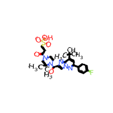 CC(C)(C)c1cc(-c2ccc(F)cc2)nn2cc(C(=O)N3CCN(C(=O)CCS(=O)(=O)O)CC3(C)C)nc12